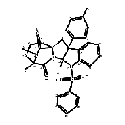 Cc1ccc([C@]23C[C@@]45SCS[C@@](C)(C(=O)N4[C@H]2N(S(=O)(=O)c2ccccc2)c2ccccc23)N(C)C5=O)cc1